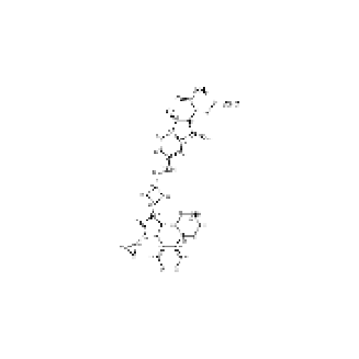 NC(=O)C(CCC=O)N1C(=O)c2ccc(NC[C@H]3C[C@H](N4CC(c5ncccc5N5CCNCC5)C(C5CC5)=N4)C3)cc2C1=O